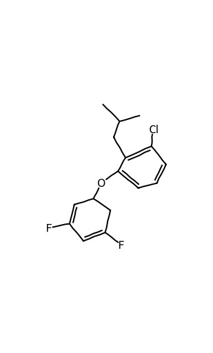 CC(C)Cc1c(Cl)cccc1OC1C=C(F)C=C(F)C1